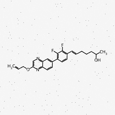 C=CCOc1cnc2cc(-c3ccc(C=CCCCC(C)O)c(F)c3F)ccc2n1